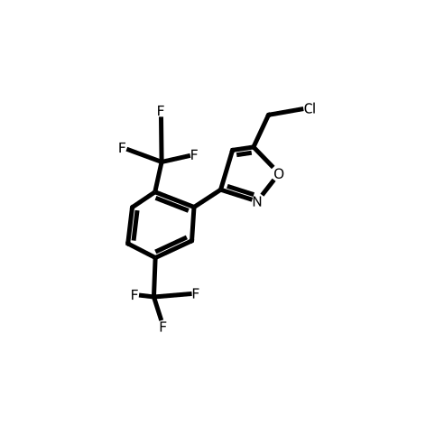 FC(F)(F)c1ccc(C(F)(F)F)c(-c2cc(CCl)on2)c1